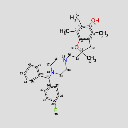 Cc1c(C)c2c(c(C)c1O)CC(C)(CCN1CCN(C(c3ccccc3)c3ccc(F)cc3)CC1)O2